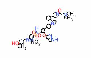 CN(C)CCC(=O)N1CCC(c2ccccc2[C@H]2CCCN2c2ccc(-c3ccc(C(=O)NS(=O)(=O)c4ccc(NCC5CCC(C)(O)CC5)c([N+](=O)[O-])c4)c(Oc4cnc5[nH]ccc5c4)c3)cc2)CC1